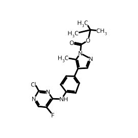 Cc1c(-c2ccc(Nc3nc(Cl)ncc3F)cc2)cnn1C(=O)OC(C)(C)C